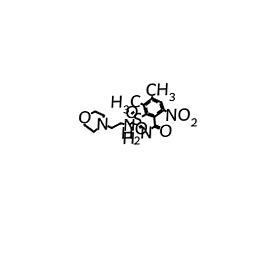 Cc1cc([N+](=O)[O-])c(C(N)=O)c(S(=O)(=O)NCCN2CCOCC2)c1C